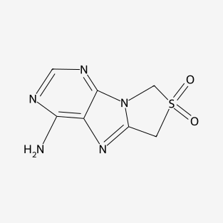 Nc1ncnc2c1nc1n2CS(=O)(=O)C1